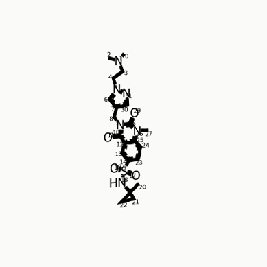 CN(C)CCn1cc(Cn2c(=O)c3cc(S(=O)(=O)NC4(C)CC4)ccc3n(C)c2=O)cn1